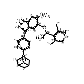 CCN1C2CC1CN(c1ccc(-c3n[nH]c4cc(OC)c(O[C@H](N)c5c(C)cnnc5C)cc34)cn1)C2